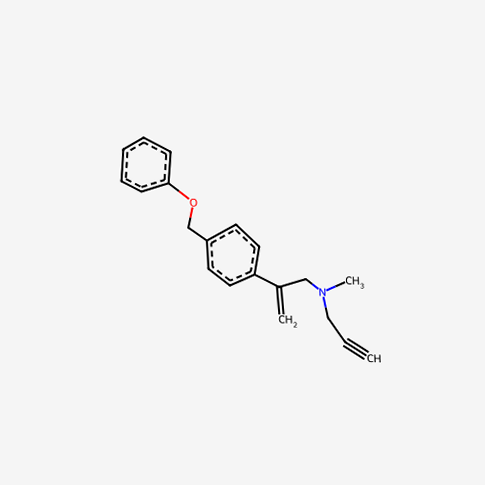 C#CCN(C)CC(=C)c1ccc(COc2ccccc2)cc1